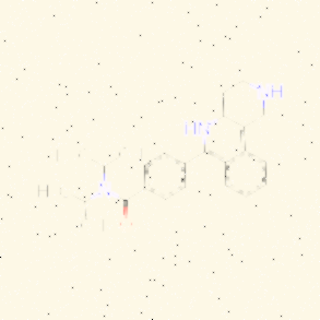 CC(C)N(C(=O)c1ccc(C2=c3ccccc3=C3CNCCC3N2)cc1)C(C)C